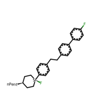 CCCCC[C@H]1CC[Si@](F)(c2ccc(CCc3ccc(-c4ccc(F)cc4)cc3)cc2)CC1